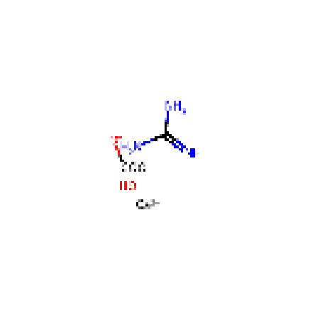 N=C(N)N.O=C([O-])[O-].[Ca+2].[OH]